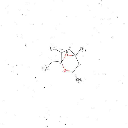 CCC12O[C@@H](C)CC(C)(CC1C)O2